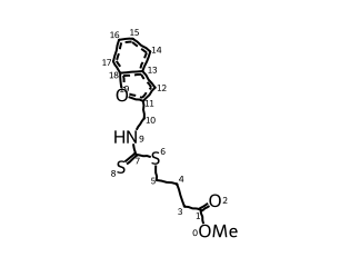 COC(=O)CCCSC(=S)NCc1cc2ccccc2o1